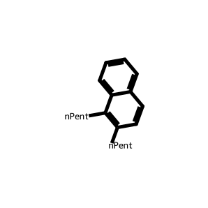 CCCCCc1ccc2ccccc2c1CCCCC